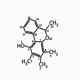 Cc1c(C)c(O)c2c(c1C)OC(C)c1ccccc1-2